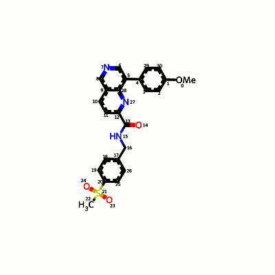 COc1ccc(-c2cncc3ccc(C(=O)NCc4ccc(S(C)(=O)=O)cc4)nc23)cc1